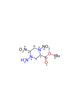 CC(C)(C)OC(=O)C1CN(N)C([N+](=O)[O-])CN1[N+](=O)[O-]